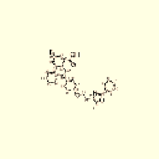 Cc1oc(-c2ccccc2)nc1CCOc1ccc(N(Cc2ccc(F)cc2C(=O)O)c2ccccc2)cc1